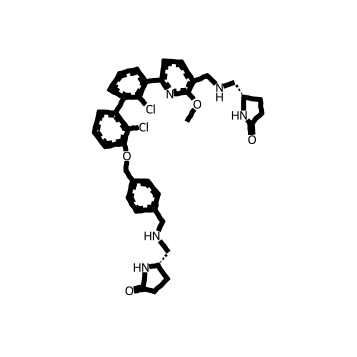 COc1nc(-c2cccc(-c3cccc(OCc4ccc(CNC[C@@H]5CCC(=O)N5)cc4)c3Cl)c2Cl)ccc1CNC[C@@H]1CCC(=O)N1